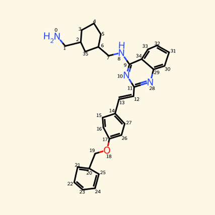 NCC1CCCC(CNc2nc(C=Cc3ccc(OCc4ccccc4)cc3)nc3ccccc23)C1